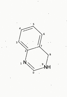 C1=Nc2ccccc2CN1